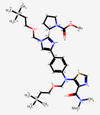 CON(C)C(=O)c1ncsc1N(COCC[Si](C)(C)C)c1ccc(-c2cn(COCC[Si](C)(C)C)c([C@@H]3CCCN3C(=O)OC(C)(C)C)n2)cc1